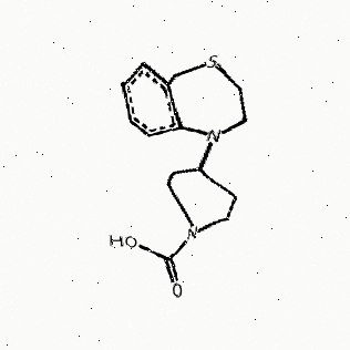 O=C(O)N1CCC(N2CCSc3ccccc32)C1